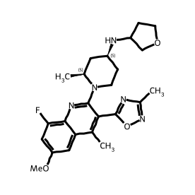 COc1cc(F)c2nc(N3CC[C@H](NC4CCOC4)C[C@@H]3C)c(-c3nc(C)no3)c(C)c2c1